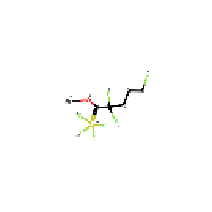 CCCCOC(C(F)(F)CCCF)=S(F)(F)(F)F